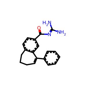 NC(N)=NC(=O)c1ccc2c(c1)C(c1ccccc1)=CCCC2